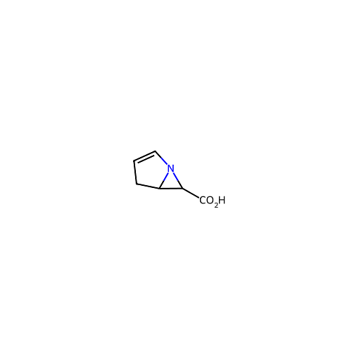 O=C(O)C1C2CC=CN21